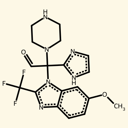 COc1ccc2nc(C(F)(F)F)n(C(C=O)(c3ncc[nH]3)N3CCNCC3)c2c1